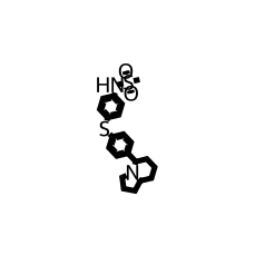 CS(=O)(=O)Nc1ccc(Sc2ccc(C3CCCC4CCCN43)cc2)cc1